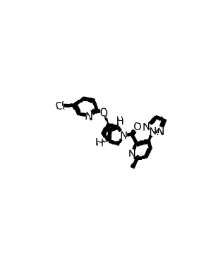 Cc1ccc(-n2nccn2)c(C(=O)N2C[C@H]3C[C@@H](Oc4ccc(Cl)cn4)[C@@H]2C3)n1